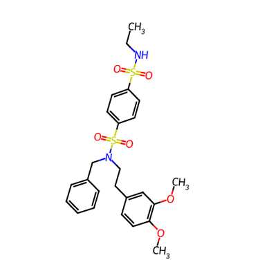 CCNS(=O)(=O)c1ccc(S(=O)(=O)N(CCc2ccc(OC)c(OC)c2)Cc2ccccc2)cc1